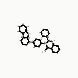 O=c1c2ccccc2nc(-c2ccccc2)n1-c1ccc(-c2cccc3c2oc2ccccc23)cc1